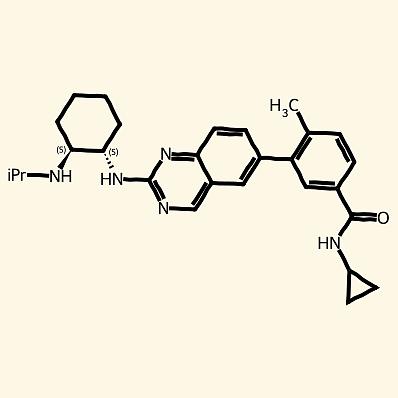 Cc1ccc(C(=O)NC2CC2)cc1-c1ccc2nc(N[C@H]3CCCC[C@@H]3NC(C)C)ncc2c1